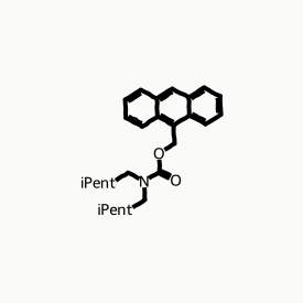 CCCC(C)CN(CC(C)CCC)C(=O)OCc1c2ccccc2cc2ccccc12